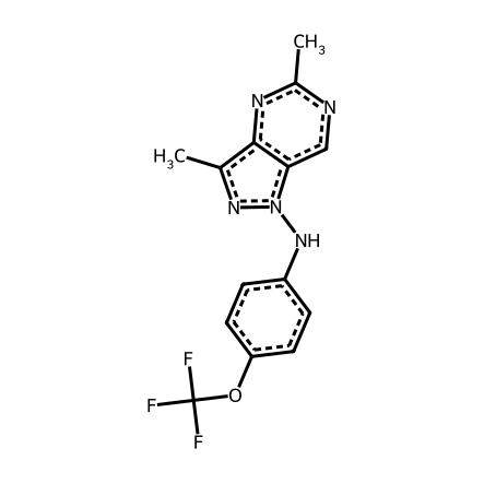 Cc1ncc2c(n1)c(C)nn2Nc1ccc(OC(F)(F)F)cc1